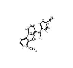 Cc1cccc2c1oc1c(N(I)c3ccc(C#N)cc3)cccc12